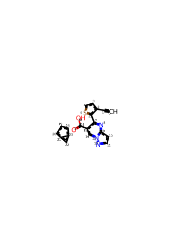 C#Cc1ccsc1-c1nc2ccnn2cc1C(=O)O.c1cc2cc-2c1